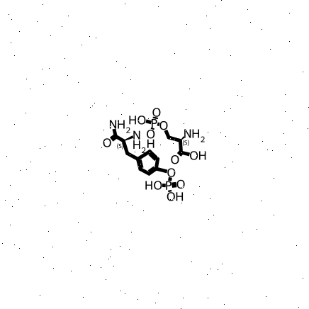 NC(=O)[C@@H](N)Cc1ccc(OP(=O)(O)O)cc1.N[C@@H](COP(=O)(O)O)C(=O)O